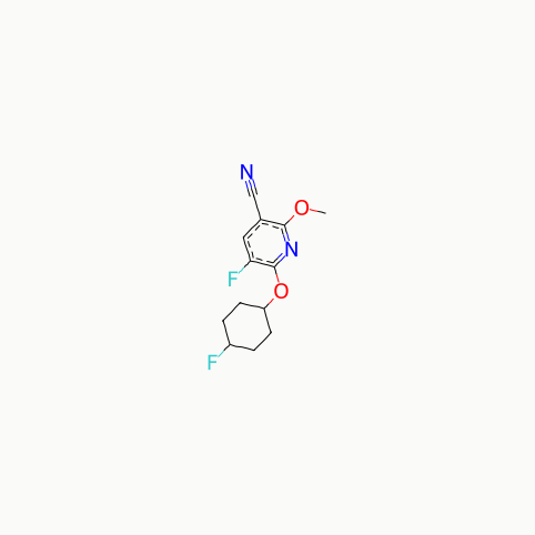 COc1nc(OC2CCC(F)CC2)c(F)cc1C#N